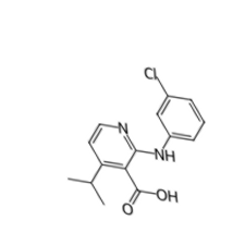 CC(C)c1ccnc(Nc2cccc(Cl)c2)c1C(=O)O